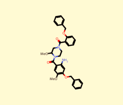 COc1cc(C(=O)N2CCN(C(=O)c3ccccc3OCc3ccccc3)CC2OC)c(N)cc1OCc1ccccc1